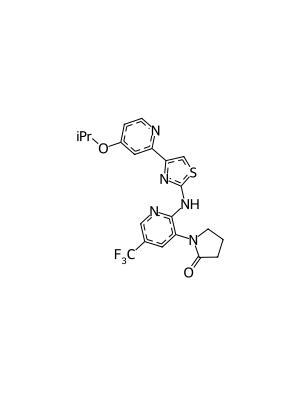 CC(C)Oc1ccnc(-c2csc(Nc3ncc(C(F)(F)F)cc3N3CCCC3=O)n2)c1